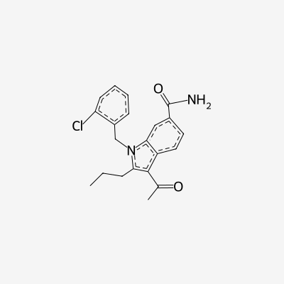 CCCc1c(C(C)=O)c2ccc(C(N)=O)cc2n1Cc1ccccc1Cl